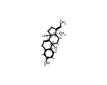 C/C=C1\CC[C@H]2C3=CCc4cc(O)ccc4[C@H]3CC[C@]12C